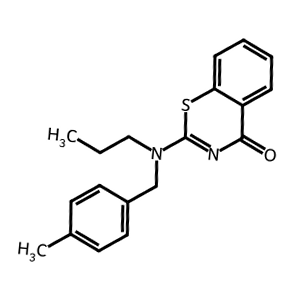 CCCN(Cc1ccc(C)cc1)c1nc(=O)c2ccccc2s1